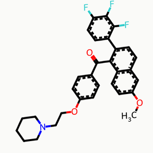 COc1ccc2c(C(=O)c3ccc(OCCN4CCCCC4)cc3)c(-c3ccc(F)c(F)c3F)ccc2c1